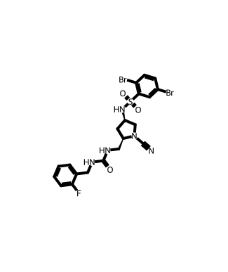 N#CN1C[C@H](NS(=O)(=O)c2cc(Br)ccc2Br)C[C@@H]1CNC(=O)NCc1ccccc1F